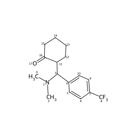 CN(C)C(c1ccc(C(F)(F)F)cc1)C1CCCCC1=O